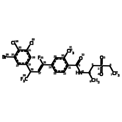 CC(CS(=O)(=O)CC(F)(F)F)NC(=O)c1ccc(/C(F)=C/C(c2cc(Cl)c(Cl)c(Br)c2)C(F)(F)F)cc1C(F)(F)F